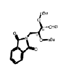 CCCCO[C@@H](CN1C(=O)c2ccccc2C1=O)[C@@H](C=O)OCCCC